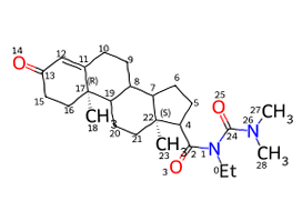 CCN(C(=O)C1CCC2C3CCC4=CC(=O)CC[C@]4(C)C3CC[C@]12C)C(=O)N(C)C